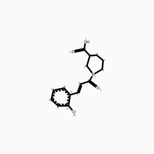 O=C(O)C1CCCN(C(=O)/C=C/c2ccccc2Cl)C1